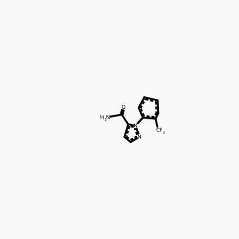 NC(=O)c1ccnn1-c1ccccc1C(F)(F)F